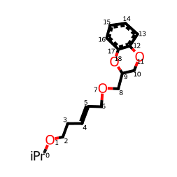 CC(C)OCCC=CCOCC1COc2ccccc2O1